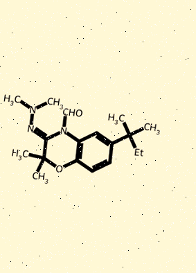 CCC(C)(C)c1ccc2c(c1)N(C=O)/C(=N\N(C)C)C(C)(C)O2